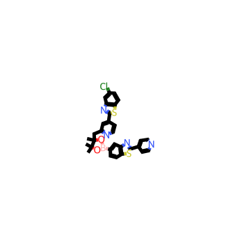 CC1(C)OB(c2ccc3sc(-c4ccncc4)nc3c2)OC1(C)Cc1cc(-c2nc3cc(Cl)ccc3s2)ccn1